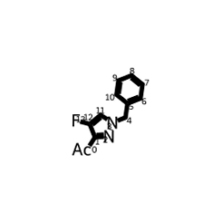 CC(=O)c1nn(Cc2ccccc2)cc1F